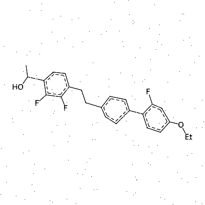 CCOc1ccc(-c2ccc(CCc3ccc(C(C)O)c(F)c3F)cc2)c(F)c1